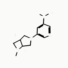 CN1C[C@H]2CN(c3cncc(B(O)O)c3)C[C@H]21